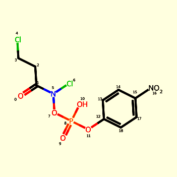 O=C(CCCl)N(Cl)OP(=O)(O)Oc1ccc([N+](=O)[O-])cc1